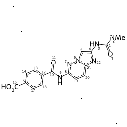 CNC(=O)Nc1cn2nc(NC(=O)c3ccc(C(=O)O)cc3)ccc2n1